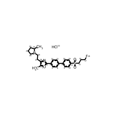 Cc1oc(-c2ccc(-c3ccc(S(=O)(=O)CCCF)cc3)cc2)nc1CCN1CCCC1C.Cl